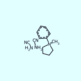 C[N+]1(c2ccccc2)CCCC1.N#CN.N#CN